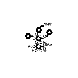 COC(=O)C1O[C@@H](OC2[C@@H](OC(C)=O)C(COCc3ccccc3)O[C@@H](Oc3ccc(CCN=[N+]=[N-])cc3)[C@H]2OCc2ccccc2)C(OC(C)=O)C(O)[C@@H]1OC(C)=O